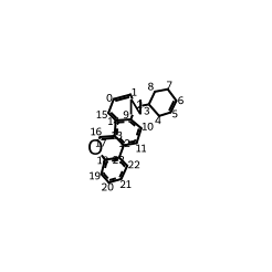 C1=CN(C2CC=CCC2)c2ccc3c(c2=C1)=COc1ccccc1-3